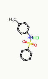 Cc1ccc(NS(=O)(=O)c2ccccc2)cc1.Cl